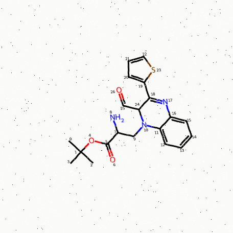 CC(C)(C)OC(=O)C(N)CN1c2ccccc2N=C(c2cccs2)C1C=O